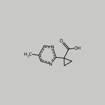 Cc1cnc(C2(C(=O)O)CC2)nc1